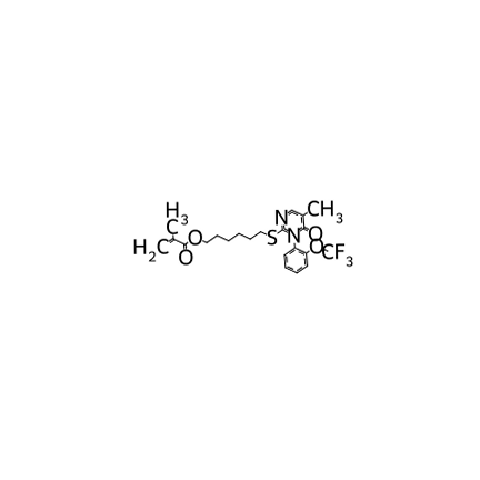 C=C(C)C(=O)OCCCCCCSc1ncc(C)c(=O)n1-c1ccccc1OC(F)(F)F